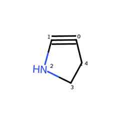 C1#CNC[CH]1